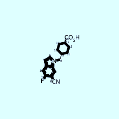 N#Cc1cc2c(ccn2C[C@H]2CC[C@H](C(=O)O)CC2)cc1F